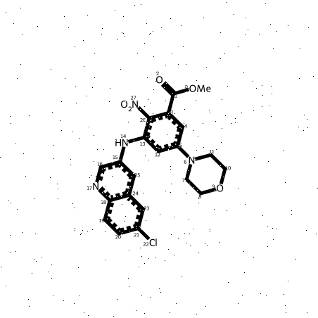 COC(=O)c1cc(N2CCOCC2)cc(Nc2cnc3ccc(Cl)cc3c2)c1[N+](=O)[O-]